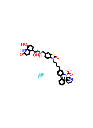 F.F.O=C(O)N(c1cc(CCCCn2c(=O)sc3cc(CNC[C@H](O)c4ccc(O)c5[nH]c(=O)ccc45)ccc32)ccc1-c1ccccc1)[C@H]1CN2CCC1CC2